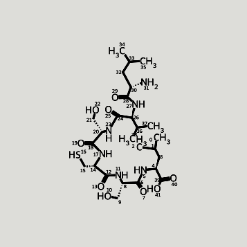 CC(C)C[C@H](NC(=O)[C@H](CO)NC(=O)[C@H](CS)NC(=O)[C@H](CO)NC(=O)[C@@H](NC(=O)[C@@H](N)CC(C)C)C(C)C)C(=O)O